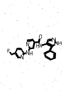 O=C(Nc1cn[nH]c1-c1ccccc1)c1ccnc(Nc2ccc(CF)cn2)c1